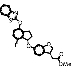 COC(=O)C[C@@H]1COc2cc(O[C@@H]3CCc4c(Oc5nc6ccccc6s5)ccc(F)c43)ccc21